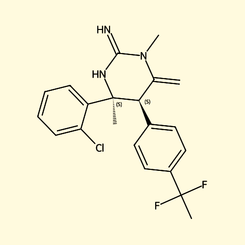 C=C1[C@@H](c2ccc(C(C)(F)F)cc2)[C@@](C)(c2ccccc2Cl)NC(=N)N1C